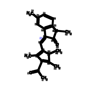 CC(=O)c1c(C)c(/C=C2\C(=O)N(C)c3ccc(C)cc32)n(C)c1C